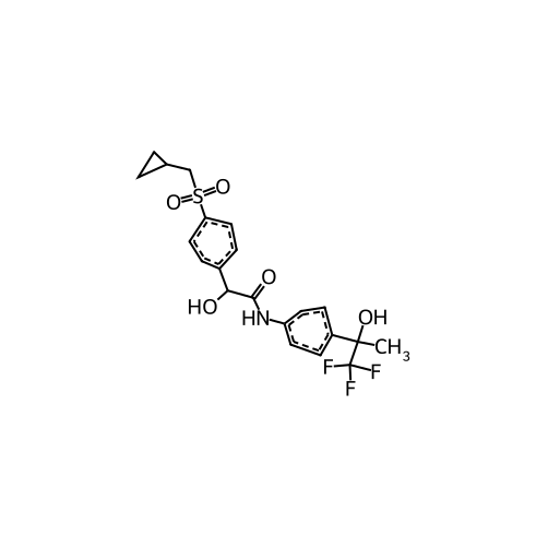 CC(O)(c1ccc(NC(=O)C(O)c2ccc(S(=O)(=O)CC3CC3)cc2)cc1)C(F)(F)F